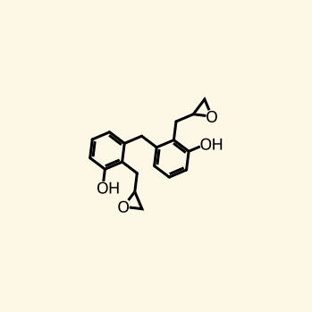 Oc1cccc(Cc2cccc(O)c2CC2CO2)c1CC1CO1